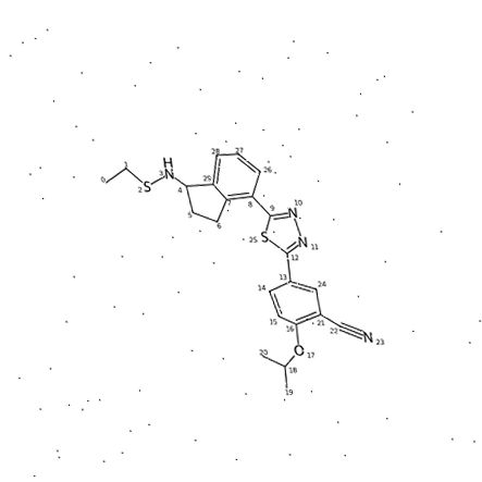 CCSNC1CCc2c(-c3nnc(-c4ccc(OC(C)C)c(C#N)c4)s3)cccc21